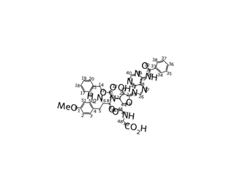 COc1ccc(C[C@H](N)C(=O)N(C(=O)OCc2ccccc2)[C@H]2[C@@H](O)[C@H](n3cnc4c(NC(=O)c5ccccc5)ncnc43)O[C@@H]2C(=O)NCC(=O)O)cc1